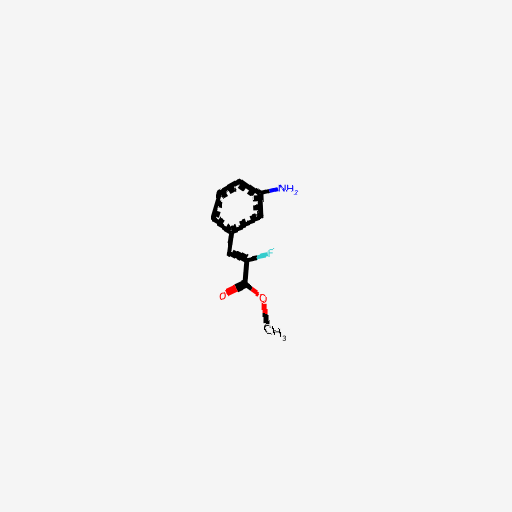 COC(=O)/C(F)=C/c1cccc(N)c1